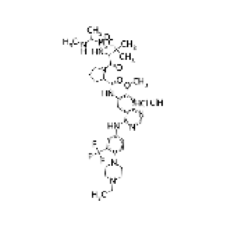 CCN1CCN(c2ccc(Nc3ncnc4cc(OC)c(NC(=O)C5CCCN5C(=O)C(NC(=O)C(C)NC)C(C)(C)C)cc34)cc2C(F)(F)F)CC1.Cl.Cl